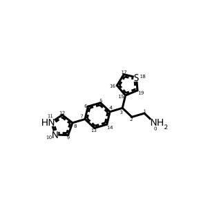 NCCC(c1ccc(-c2cn[nH]c2)cc1)c1ccsc1